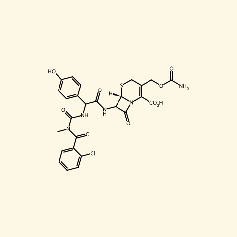 CN(C(=O)NC(C(=O)NC1C(=O)N2C(C(=O)O)=C(COC(N)=O)CS[C@@H]12)c1ccc(O)cc1)C(=O)c1ccccc1Cl